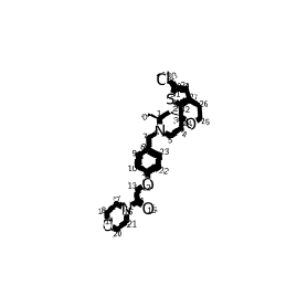 C[C@H]1C[C@@]2(CCN1Cc1ccc(OCC(=O)N3CCOCC3)cc1)OCCc1cc(Cl)sc12